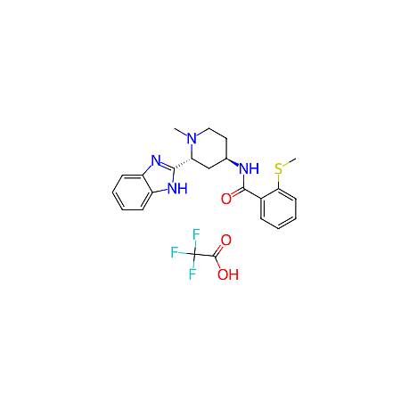 CSc1ccccc1C(=O)N[C@@H]1CCN(C)[C@@H](c2nc3ccccc3[nH]2)C1.O=C(O)C(F)(F)F